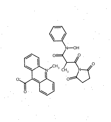 CC(C(=O)N1C(=O)CCC1=O)C(=O)N(O)c1ccccc1.C[n+]1c2ccccc2c(C(=O)[O-])c2ccccc21